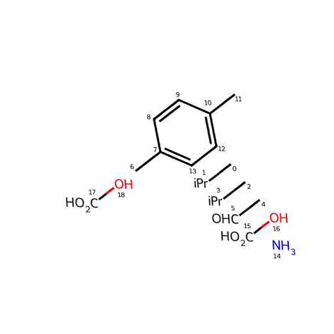 CC(C)C.CC(C)C.CC=O.Cc1ccc(C)cc1.N.O=C(O)O.O=C(O)O